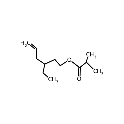 C=CCC(CC)CCOC(=O)C(C)C